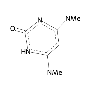 CNc1cc(NC)[nH]c(=O)n1